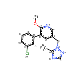 CCOc1ncc(Cn2ncnc2C(F)(F)F)cc1-c1cccc(Cl)c1